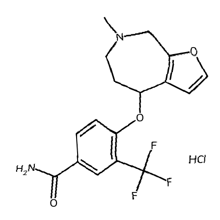 CN1CCC(Oc2ccc(C(N)=O)cc2C(F)(F)F)c2ccoc2C1.Cl